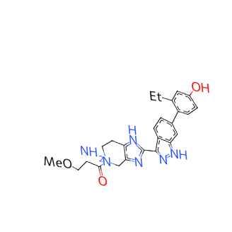 CCc1cc(O)ccc1-c1ccc2c(-c3nc4c([nH]3)CCN(C(=O)[C@@H](N)COC)C4)n[nH]c2c1